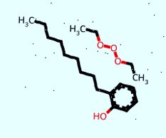 CCCCCCCCCc1ccccc1O.CCOOOCC